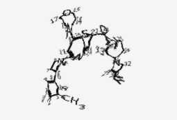 Cc1cccc(-c2ccn(-c3cc(N4CCOCC4)c4sc(C(=O)N5CCC(N6CC(F)C6)C5)cc4n3)n2)c1